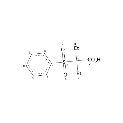 CCC(CC)(C(=O)O)S(=O)(=O)c1ccccc1